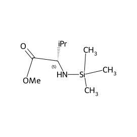 COC(=O)[C@@H](N[Si](C)(C)C)C(C)C